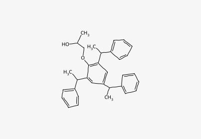 CC(O)COc1c(C(C)c2ccccc2)cc(C(C)c2ccccc2)cc1C(C)c1ccccc1